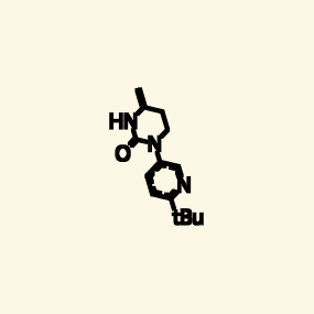 C=C1CCN(c2ccc(C(C)(C)C)nc2)C(=O)N1